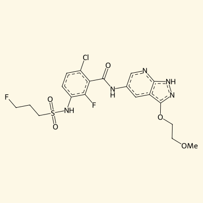 COCCOc1n[nH]c2ncc(NC(=O)c3c(Cl)ccc(NS(=O)(=O)CCCF)c3F)cc12